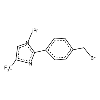 CC(C)n1cc(C(F)(F)F)nc1-c1ccc(CBr)cc1